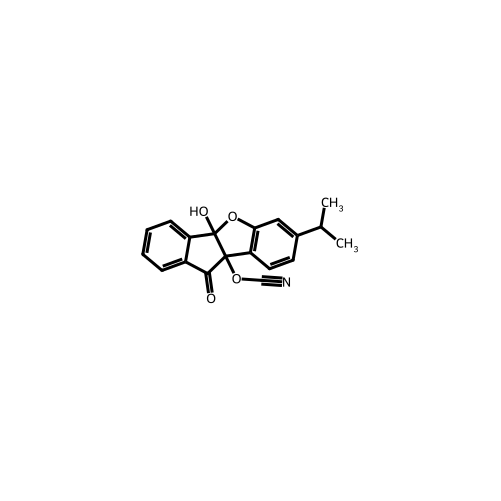 CC(C)c1ccc2c(c1)OC1(O)c3ccccc3C(=O)C21OC#N